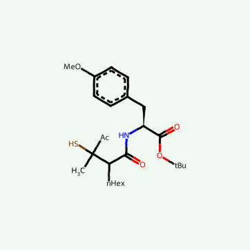 CCCCCCC(C(=O)N[C@@H](Cc1ccc(OC)cc1)C(=O)OC(C)(C)C)C(C)(S)C(C)=O